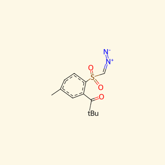 Cc1ccc(S(=O)(=O)C=[N+]=[N-])c(C(=O)C(C)(C)C)c1